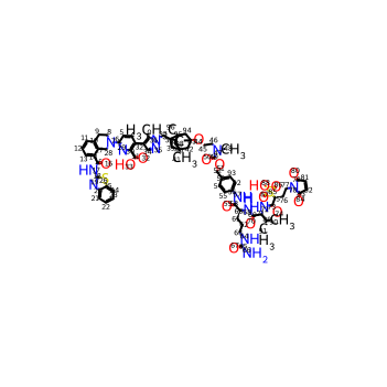 Cc1c(-c2ccc(N3CCc4cccc(C(=O)Nc5nc6ccccc6s5)c4C3)nc2C(=O)O)cnn1CC12CC3(C)CC(OCCN(C)C(=O)OCc4ccc(NC(=O)[C@H](CCCNC(N)=O)NC(=O)[C@@H](NC(=O)[C@H](CCN5C(=O)C=CC5=O)S(=O)(=O)O)C(C)C)cc4)(CC1(C)C3)C2